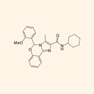 COc1ccccc1C1Oc2ccccc2-c2nc(C(=O)NC3CCCCC3)c(C)n21